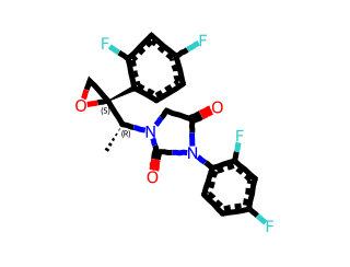 C[C@@H](N1CC(=O)N(c2ccc(F)cc2F)C1=O)[C@@]1(c2ccc(F)cc2F)CO1